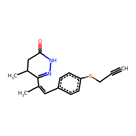 C#CCSc1ccc(C=C(C)C2=NNC(=O)CC2C)cc1